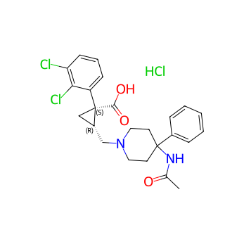 CC(=O)NC1(c2ccccc2)CCN(C[C@@H]2C[C@@]2(C(=O)O)c2cccc(Cl)c2Cl)CC1.Cl